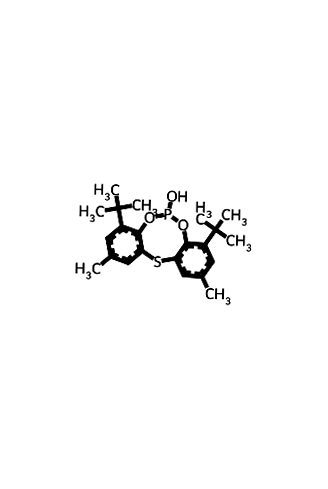 Cc1cc2c(c(C(C)(C)C)c1)OP(O)Oc1c(cc(C)cc1C(C)(C)C)S2